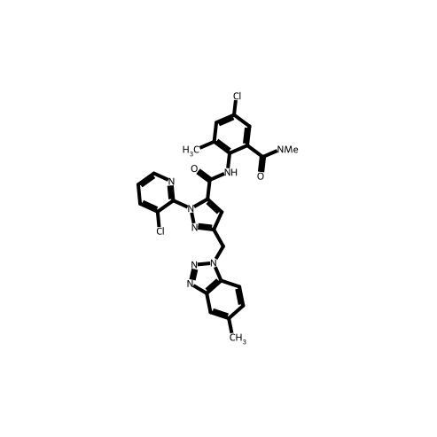 CNC(=O)c1cc(Cl)cc(C)c1NC(=O)c1cc(Cn2nnc3cc(C)ccc32)nn1-c1ncccc1Cl